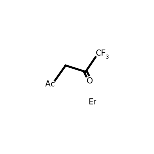 CC(=O)CC(=O)C(F)(F)F.[Er]